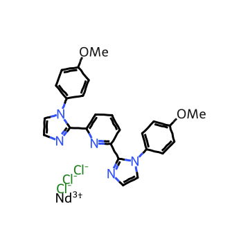 COc1ccc(-n2ccnc2-c2cccc(-c3nccn3-c3ccc(OC)cc3)n2)cc1.[Cl-].[Cl-].[Cl-].[Nd+3]